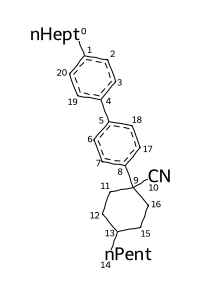 CCCCCCCc1ccc(-c2ccc(C3(C#N)CCC(CCCCC)CC3)cc2)cc1